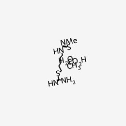 CC(=O)O.CNC(=S)NCCCCCSC(=N)N.O